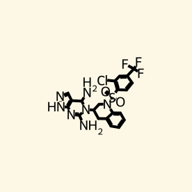 NC1=Nc2[nH]ncc2C(N)N1C1Cc2ccccc2N(S(=O)(=O)c2ccc(C(F)(F)F)cc2Cl)C1